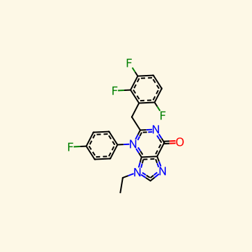 CCn1cnc2c(=O)nc(Cc3c(F)ccc(F)c3F)n(-c3ccc(F)cc3)c21